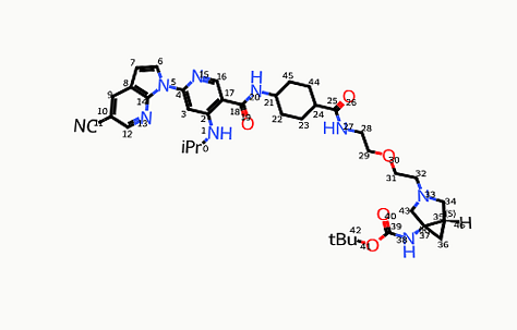 CC(C)Nc1cc(-n2ccc3cc(C#N)cnc32)ncc1C(=O)NC1CCC(C(=O)NCCOCCN2C[C@@H]3C[C@]3(NC(=O)OC(C)(C)C)C2)CC1